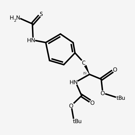 CC(C)(C)OC(=O)N[C@@H](Cc1ccc(NC(N)=S)cc1)C(=O)OC(C)(C)C